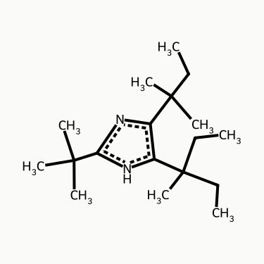 CCC(C)(C)c1nc(C(C)(C)C)[nH]c1C(C)(CC)CC